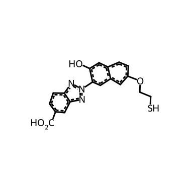 O=C(O)c1ccc2nn(-c3cc4cc(OCCS)ccc4cc3O)nc2c1